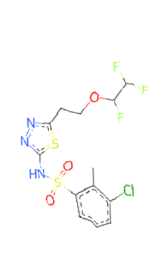 Cc1c(Cl)cccc1S(=O)(=O)Nc1nnc(CCOC(F)C(F)F)s1